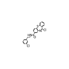 O=C(NCCc1cccc(Cl)c1)c1ccc2c(c1)N=C(Cl)c1ccccc1S2